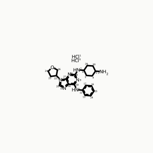 Cl.Cl.NC1CCC(Nc2nc(Nc3ccccc3)c3ncn(C4CCOC4)c3n2)CC1